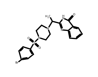 CC(c1nc2ccccc2c(=O)[nH]1)N1CCN(S(=O)(=O)c2ccc(Br)cc2)CC1